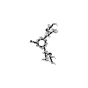 C=CNCCCC[C@@H]1NC(=O)[C@@H](C)NC(=O)[C@H](CCCCNC(=O)[C@H](CCCNC(=N)N)NC(=O)[C@@H]2CCCN2C[C@@H](N)CCCCN)NC(=O)[C@@H](C)NC(=O)[C@H](CCCCNC(=O)[C@H](CCCNC(=N)N)NC(=O)[C@@H]2CCCN2C[C@@H](N)CCCCN)NC(=O)[C@@H](C)NC1=O